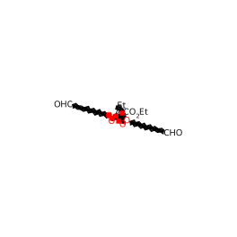 CCOC(=O)C(C)(CC(C)(CC)C(C)=O)CC(C)(CC(C)(C)C(=O)OCCCCCCCCCCCCCC=O)C(=O)OCCCCCCCCCCCCCC=O